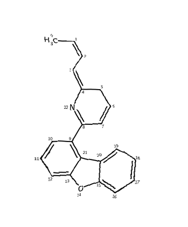 C/C=C\C=C1/CC=CC(c2cccc3oc4ccccc4c23)=N1